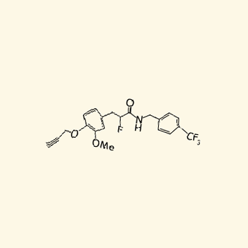 C#CCOc1ccc(CC(F)C(=O)NCc2ccc(C(F)(F)F)cc2)cc1OC